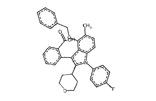 Cc1ccc2c(c1OCc1ccccc1)c(-c1ccccc1C(=O)O)c(C1CCOCC1)n2-c1ccc(F)cc1